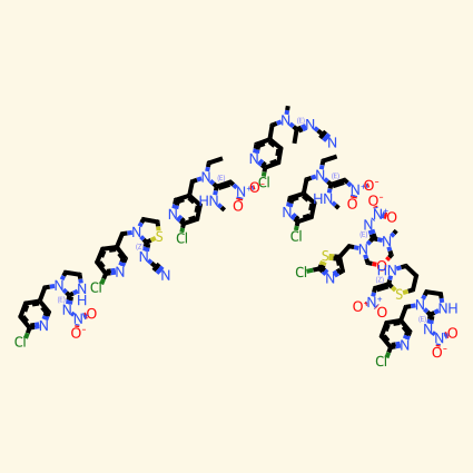 C/C(=N\C#N)N(C)Cc1ccc(Cl)nc1.CCN(Cc1ccc(Cl)nc1)/C(=C/[N+](=O)[O-])NC.CCN(Cc1ccc(Cl)nc1)/C(=C/[N+](=O)[O-])NC.CN1COCN(Cc2cnc(Cl)s2)/C1=N/[N+](=O)[O-].N#C/N=C1\SCCN1Cc1ccc(Cl)nc1.O=[N+]([O-])/C=C1/NCCCS1.O=[N+]([O-])/N=C1\NCCN1Cc1ccc(Cl)nc1.O=[N+]([O-])/N=C1\NCCN1Cc1ccc(Cl)nc1